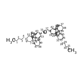 CCCCC[C@H]1CC[C@H](C2([C@@]3(F)C=C[C@@H](COC[C@@H]4C=C[C@](F)(C5([C@H]6CC[C@H](CCCCC)CC6)CCCCC5)C(F)=C4)C=C3F)CCCCC2)CC1